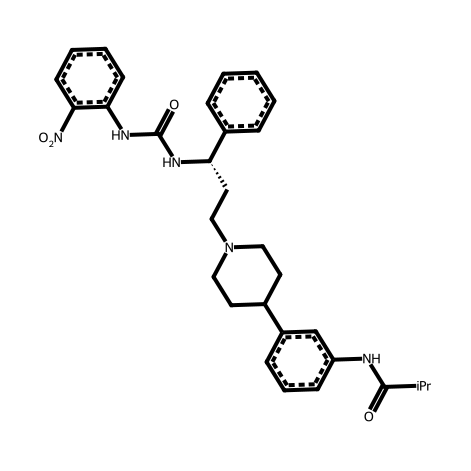 CC(C)C(=O)Nc1cccc(C2CCN(CC[C@H](NC(=O)Nc3ccccc3[N+](=O)[O-])c3ccccc3)CC2)c1